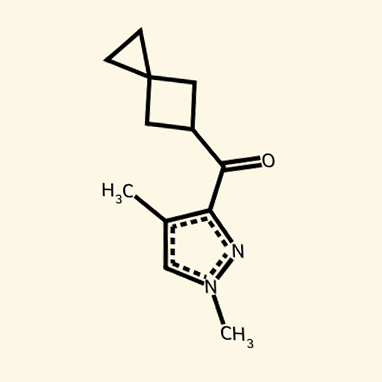 Cc1cn(C)nc1C(=O)C1CC2(CC2)C1